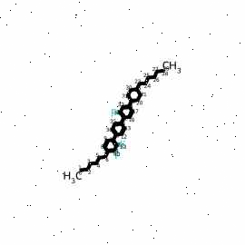 CCCCCCCc1ccc(-c2ccc(-c3ccc(C4CCC(CCCCCCC)CC4)cc3F)cc2)c(F)c1F